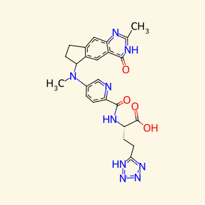 Cc1nc2cc3c(cc2c(=O)[nH]1)C(N(C)c1ccc(C(=O)N[C@@H](CCc2nnn[nH]2)C(=O)O)nc1)CC3